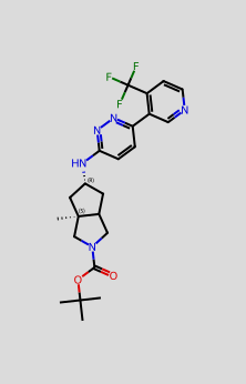 CC(C)(C)OC(=O)N1CC2C[C@@H](Nc3ccc(-c4cnccc4C(F)(F)F)nn3)C[C@]2(C)C1